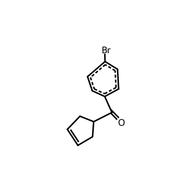 O=C(c1ccc(Br)cc1)C1CC=CC1